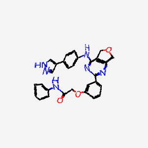 O=C(COc1cccc(-c2nc3c(c(Nc4ccc(-c5cn[nH]c5)cc4)n2)COC3)c1)Nc1ccccc1